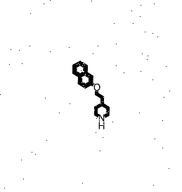 c1ccc2cc(OCCC3CCNCC3)ccc2c1